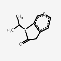 CC(C)N1C(=O)Cc2ccbcc21